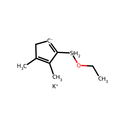 CCO[SiH2]C1=[C-]CC(C)=C1C.[K+]